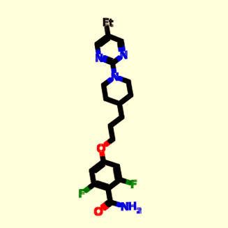 CCc1cnc(N2CCC(CCCOc3cc(F)c(C(N)=O)c(F)c3)CC2)nc1